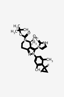 Cc1cc(-n2nc3c(c2N2C=CNC2=C=O)[C@H](C)N(C(=O)OC(C)(C)C)CC3)cc(C)c1C1(F)CC1